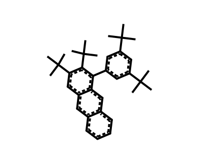 CC(C)(C)c1cc(-c2c(C(C)(C)C)c(C(C)(C)C)cc3cc4ccccc4cc23)cc(C(C)(C)C)c1